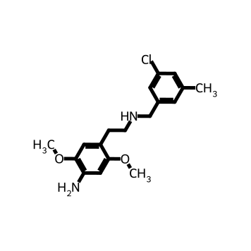 COc1cc(CCNCc2cc(C)cc(Cl)c2)c(OC)cc1N